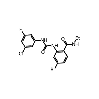 CCNC(=O)c1ccc(Br)cc1NC(=O)Nc1cc(F)cc(Cl)c1